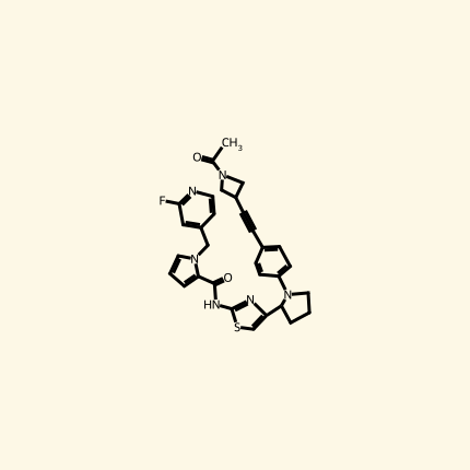 CC(=O)N1CC(C#Cc2ccc(N3CCCC3c3csc(NC(=O)c4cccn4Cc4ccnc(F)c4)n3)cc2)C1